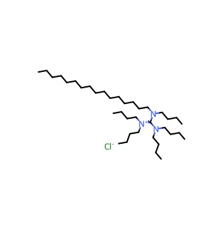 CCCCCCCCCCCCCCCCN(CCCC)C(N(CCCC)CCCC)=[N+](CCCC)CCCC.[Cl-]